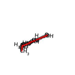 CCCCNC(=O)CC[C@@H](C)NC(=O)COCCOCCNC(=O)COCCOCCNC(=O)CCCNC(=O)CCCCCCCCCCCCCCCCC(=O)O